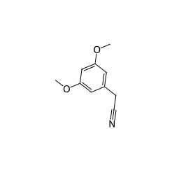 COc1cc(CC#N)cc(OC)c1